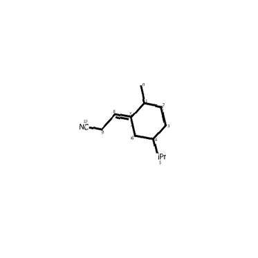 CC1CCC(C(C)C)CC1=CCC#N